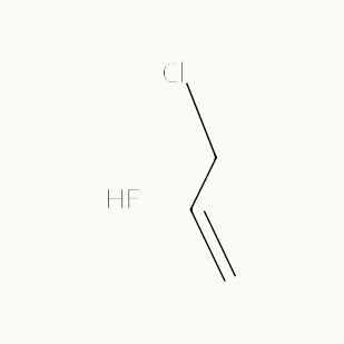 C=CCCl.F